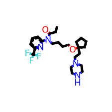 CCC(=O)N(CCCCOC1(CCN2CCNCC2)CCCC1)c1cccc(C(F)(F)F)n1